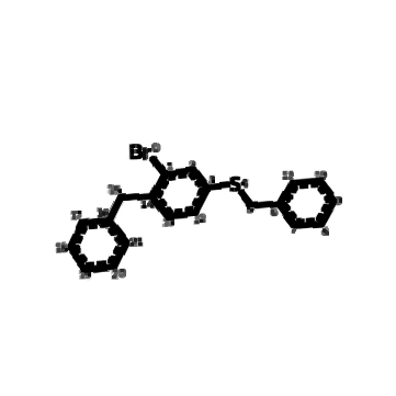 Brc1cc(SCc2ccccc2)ccc1Cc1ccccc1